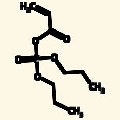 C=CC(=O)OP(=O)(OCCC)OCCC